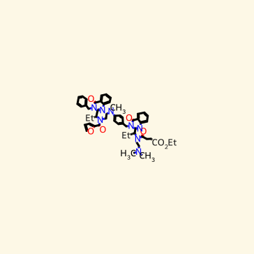 CCOC(=O)CCC(=O)N(CCN(C)C)C(CC)c1nc2ccccc2c(=O)n1Cc1ccc(N(C)CCN(C(=O)c2ccco2)C(CC)c2nc3ccccc3c(=O)n2Cc2ccccc2)cc1